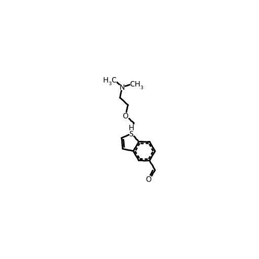 CN(C)CCOC[SH]1C=Cc2cc(C=O)ccc21